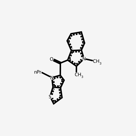 CCCn1c(C(=O)c2c(C)n(C)c3ccccc23)cc2ccsc21